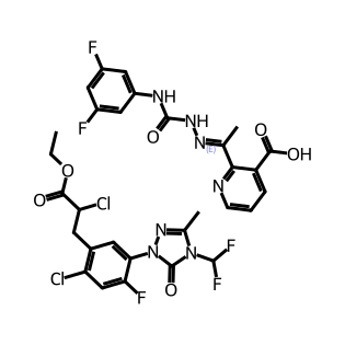 C/C(=N\NC(=O)Nc1cc(F)cc(F)c1)c1ncccc1C(=O)O.CCOC(=O)C(Cl)Cc1cc(-n2nc(C)n(C(F)F)c2=O)c(F)cc1Cl